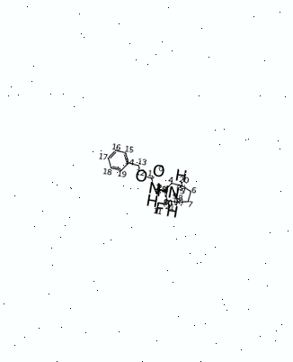 O=C(N[C@H]1C[C@@H]2CC[C@@H](N2)[C@H]1F)OCc1ccccc1